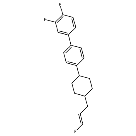 FC=CCC1CCC(c2ccc(-c3ccc(F)c(F)c3)cc2)CC1